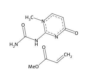 C=CC(=O)OC.Cn1ccc(=O)nc1NC(N)=O